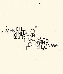 CC[C@H](NC(=O)[C@H](C)NC)C(=O)N1C[C@@H](F)C[C@H]1Cc1c(-c2nc3cc(F)ccc3n2C[C@@H]2CCCN2C(=O)[C@@H](NC(=O)[C@H](C)NC)C(C)(C)C)[nH]c2cc(F)ccc12